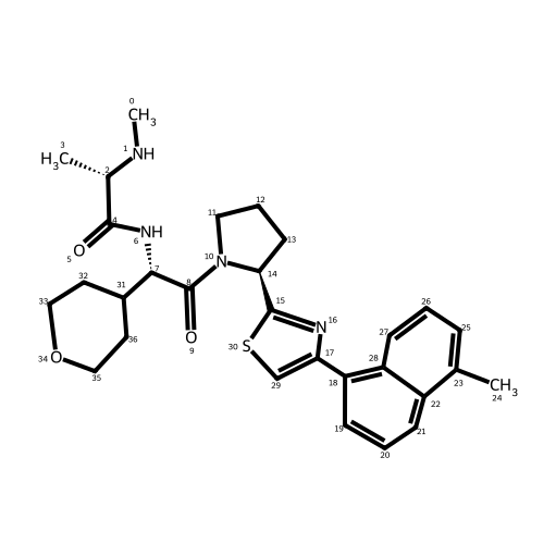 CN[C@@H](C)C(=O)N[C@H](C(=O)N1CCC[C@H]1c1nc(-c2cccc3c(C)cccc23)cs1)C1CCOCC1